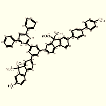 CCCCCCCCC1(CCCCCCCC)c2cc(C)ccc2-c2ccc(-c3cc(-c4ccc5c(c4)C(CCCCCCCC)(CCCCCCCC)c4cc(-c6ccc(-c7ccc(C)cc7)cc6)ccc4-5)cc(-c4nc(-c5ccccc5)cc(-c5ccccc5)n4)c3)cc21